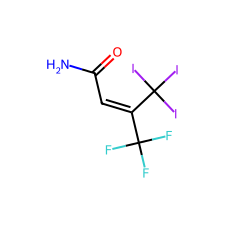 NC(=O)C=C(C(F)(F)F)C(I)(I)I